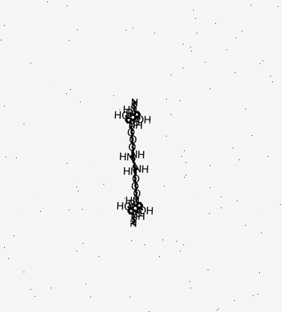 CN(C)CCNc1ccc(O)c2c1C(=O)c1c(O)ccc(NCCOCCOCCOCCNC(=N)CCCCC(=N)NCCOCCOCCOCCNc3ccc(O)c4c3C(=O)c3c(O)ccc(NCCN(C)C)c3C4=O)c1C2=O